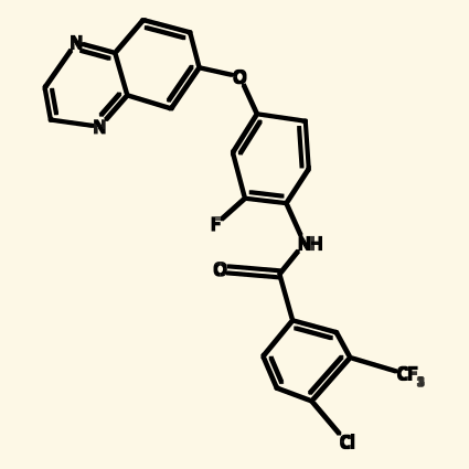 O=C(Nc1ccc(Oc2ccc3nccnc3c2)cc1F)c1ccc(Cl)c(C(F)(F)F)c1